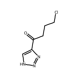 O=C(CCCCl)c1c[nH]nn1